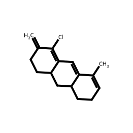 C=C1CCC2CC3CCC=C(C)C3=CC2=C1Cl